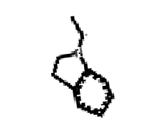 C[CH]N1CCc2ccccc21